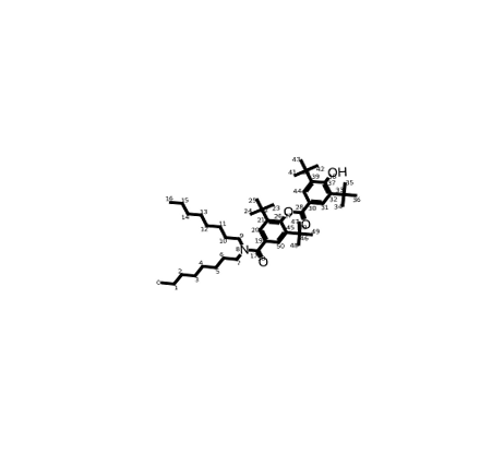 CCCCCCCCN(CCCCCCCC)C(=O)c1cc(C(C)(C)C)c(OC(=O)c2cc(C(C)(C)C)c(O)c(C(C)(C)C)c2)c(C(C)(C)C)c1